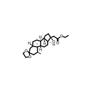 CCOC(=O)C[C@@]1(O)CC[C@H]2[C@@H]3CC[C@H]4CC5(C[C@H](C)[C@]4(C)[C@H]3CC[C@@]21C)OCCO5